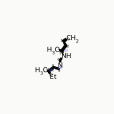 C=C/C=C(\C)NC/N=C\C=C(\C)CC